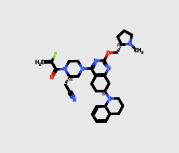 C=C(F)C(=O)N1CCN(c2nc(OC[C@@H]3CCCN3C)nc3c2CC[C@H](N2CCCC4C=CC=CC42)C3)C[C@@H]1CC#N